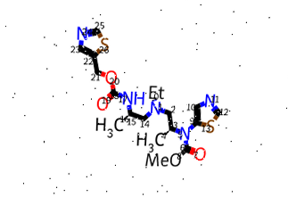 CCN(C[C@@H](C)N(C(=O)OC)c1cncs1)C[C@H](C)NC(=O)OCc1cncs1